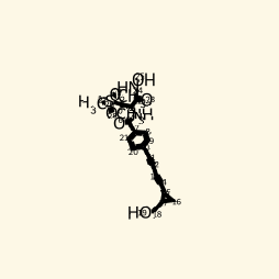 CC(C)([C@H](NC(=O)c1ccc(C#CC#CC2CC2CO)cc1)C(=O)NO)S(C)(=O)=O